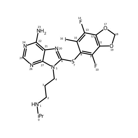 CC(C)NCCCn1c(Sc2c(F)c3c(c(F)c2I)OCO3)nc2c(N)ncnc21